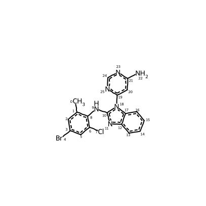 Cc1cc(Br)cc(Cl)c1Nc1nc2ccccc2n1-c1cc(N)ncn1